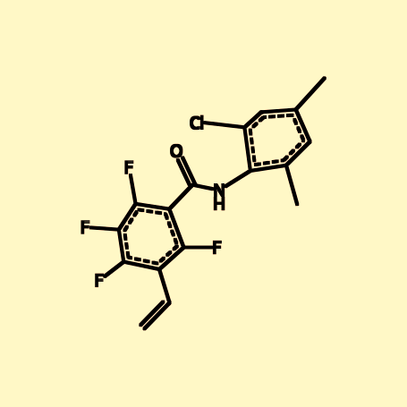 C=Cc1c(F)c(F)c(F)c(C(=O)Nc2c(C)cc(C)cc2Cl)c1F